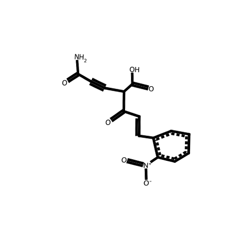 NC(=O)C#CC(C(=O)O)C(=O)C=Cc1ccccc1[N+](=O)[O-]